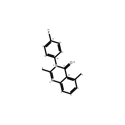 Cc1cccc2nc(C)n(-c3ccc(F)cc3)c(=O)c12